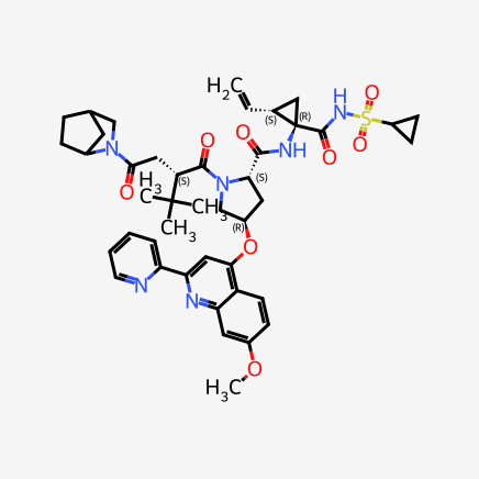 C=C[C@@H]1C[C@]1(NC(=O)[C@@H]1C[C@@H](Oc2cc(-c3ccccn3)nc3cc(OC)ccc23)CN1C(=O)[C@@H](CC(=O)N1CC2CCC1C2)C(C)(C)C)C(=O)NS(=O)(=O)C1CC1